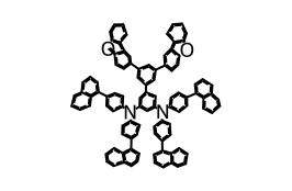 c1ccc2c(-c3ccc(N(c4ccc(-c5cccc6ccccc56)cc4)c4cc(-c5cc(-c6ccc7oc8ccccc8c7c6)cc(-c6ccc7oc8ccccc8c7c6)c5)cc(N(c5ccc(-c6cccc7ccccc67)cc5)c5ccc(-c6cccc7ccccc67)cc5)c4)cc3)cccc2c1